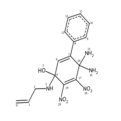 C=CCNC1(O)C=C(c2ccccc2)C(N)(N)C([N+](=O)[O-])=C1[N+](=O)[O-]